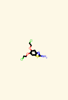 Nc1nc2cc(OCCCl)c(OCCCl)cc2s1